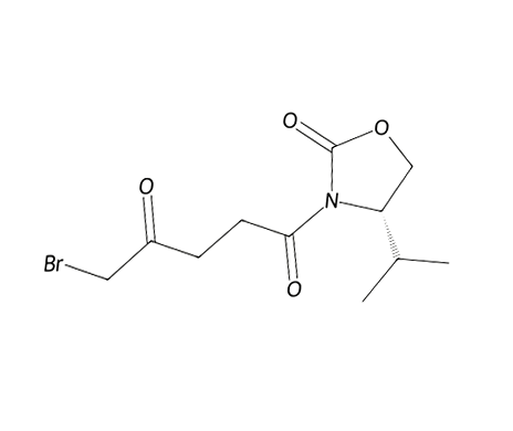 CC(C)[C@H]1COC(=O)N1C(=O)CCC(=O)CBr